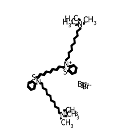 CC[N+](CC)(CC)CCCCCCCCCCN1C(=CC=CC=CC=Cc2sc3ccccc3[n+]2CCCCCCCCCC[N+](CC)(CC)CC)Sc2ccccc21.[Br-].[Br-].[Br-]